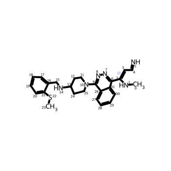 CN/C(=C\C=N)c1nnc(N2CCC(NCc3ccccc3SC)CC2)c2ccccc12